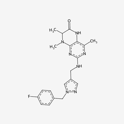 Cc1nc(NCc2cnn(Cc3ccc(F)cc3)c2)nc2c1NC(=O)C(C)N2C